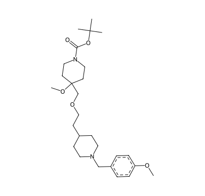 COc1ccc(CN2CCC(CCOCC3(OC)CCN(C(=O)OC(C)(C)C)CC3)CC2)cc1